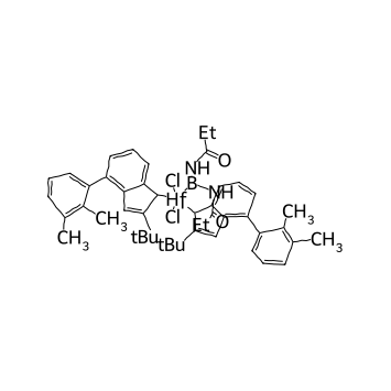 CCC(=O)N[B](NC(=O)CC)[Hf]([Cl])([Cl])([CH]1C(C(C)(C)C)=Cc2c(-c3cccc(C)c3C)cccc21)[CH]1C(C(C)(C)C)=Cc2c(-c3cccc(C)c3C)cccc21